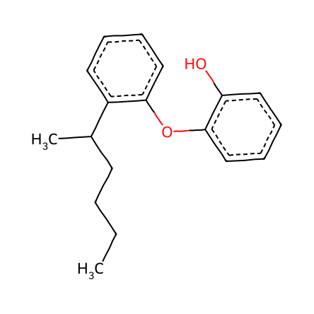 CCCCC(C)c1ccccc1Oc1ccccc1O